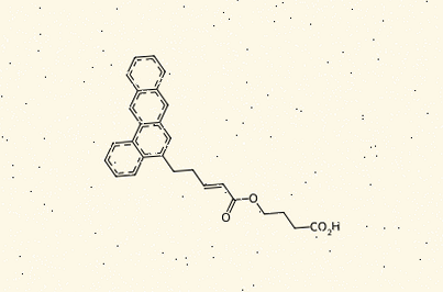 O=C(O)CCCOC(=O)/C=C/CCc1cc2cc3ccccc3cc2c2ccccc12